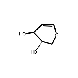 OC1C=COC[C@@H]1O